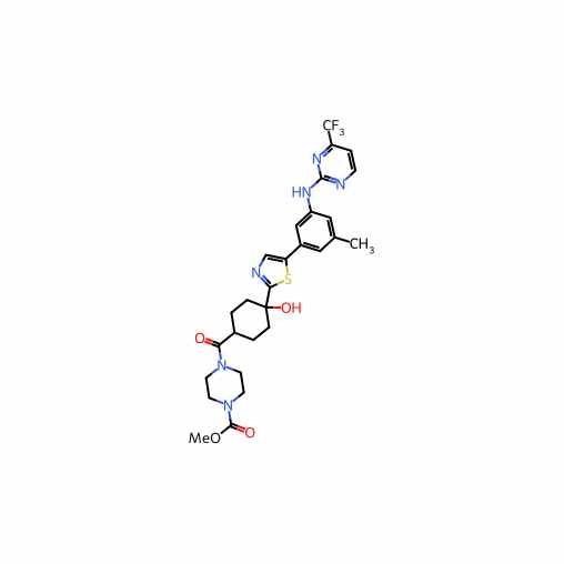 COC(=O)N1CCN(C(=O)C2CCC(O)(c3ncc(-c4cc(C)cc(Nc5nccc(C(F)(F)F)n5)c4)s3)CC2)CC1